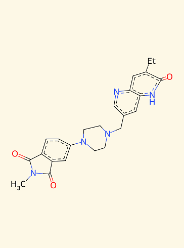 CCc1cc2ncc(CN3CCN(c4ccc5c(c4)C(=O)N(C)C5=O)CC3)cc2[nH]c1=O